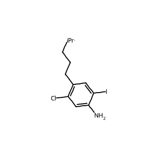 C[C](C)CCCc1cc(I)c(N)cc1Cl